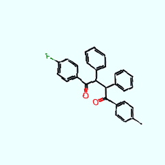 Cc1ccc(C(=O)C(c2ccccc2)C(C(=O)c2ccc(F)cc2)c2ccccc2)cc1